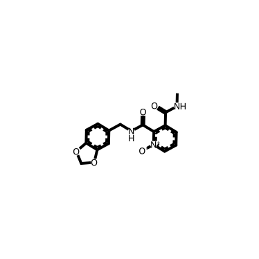 CNC(=O)c1ccc[n+]([O-])c1C(=O)NCc1ccc2c(c1)OCO2